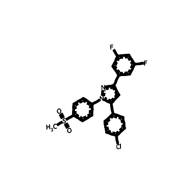 CS(=O)(=O)c1ccc(-n2nc(-c3cc(F)cc(F)c3)cc2-c2ccc(Cl)cc2)cc1